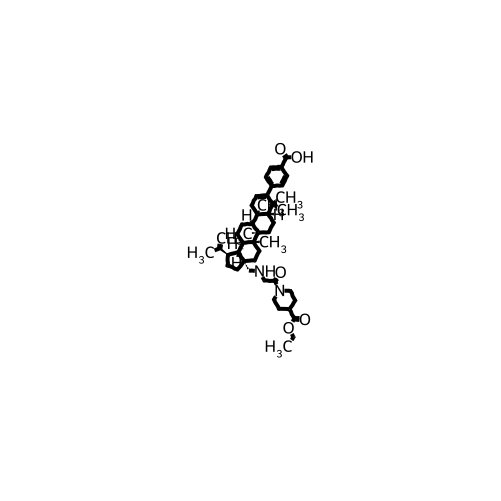 C=C(C)[C@@H]1CC[C@]2(CNCC(=O)N3CCC(C(=O)OCC)CC3)CC[C@]3(C)[C@H](CC[C@@H]4[C@@]5(C)CC=C(c6ccc(C(=O)O)cc6)C(C)(C)[C@@H]5CC[C@]43C)[C@@H]12